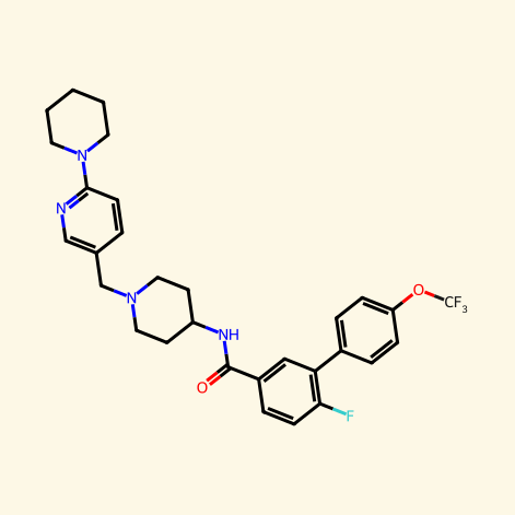 O=C(NC1CCN(Cc2ccc(N3CCCCC3)nc2)CC1)c1ccc(F)c(-c2ccc(OC(F)(F)F)cc2)c1